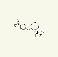 CC[N+]([O-])(CC)/C1=C/C(Sc2ccc([N+](=O)[O-])cc2)CCCCC1